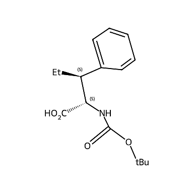 CC[C@@H](c1ccccc1)[C@H](NC(=O)OC(C)(C)C)C(=O)O